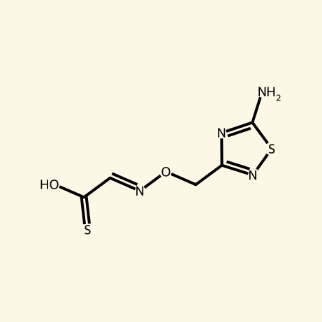 Nc1nc(CON=CC(O)=S)ns1